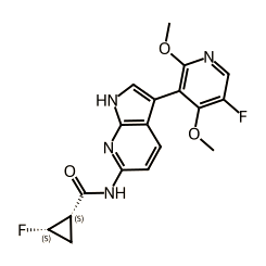 COc1ncc(F)c(OC)c1-c1c[nH]c2nc(NC(=O)[C@@H]3C[C@@H]3F)ccc12